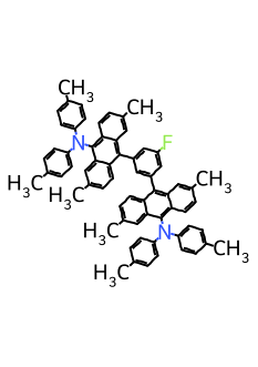 Cc1ccc(N(c2ccc(C)cc2)c2c3ccc(C)cc3c(-c3cc(F)cc(-c4c5cc(C)ccc5c(N(c5ccc(C)cc5)c5ccc(C)cc5)c5cc(C)ccc45)c3)c3ccc(C)cc23)cc1